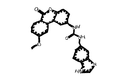 COc1ccc2c(=O)oc3ccc(NC(=O)Nc4ccc5[nH]cnc5c4)cc3c2c1